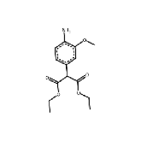 CCOC(=O)C(C(=O)OCC)c1ccc(N)c(OC)c1